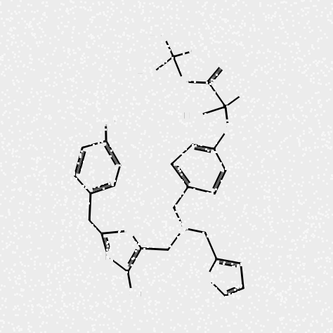 Cc1ccc(Cc2nc(C)c(CN(Cc3ccc(SC(C)(C)C(=O)OC(C)(C)C)cc3)Cc3ccco3)o2)cc1